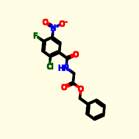 O=C(CNC(=O)c1cc([N+](=O)[O-])c(F)cc1Cl)OCc1ccccc1